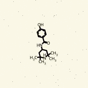 CC1(C)CC(NC(=O)c2ccc(O)cc2)CC(C)(C)N1